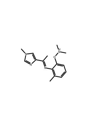 CC(=Nc1c(C)cccc1O[SiH](C)C)c1cn(C)cn1